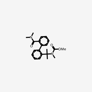 COC(=O)N(C)C(C)(C)c1ccccc1-c1ccccc1C(=O)N(C)C